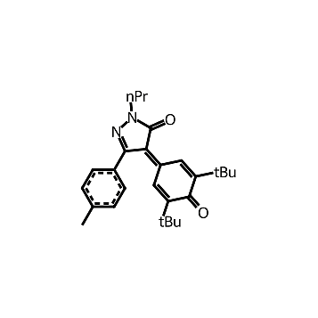 CCCN1N=C(c2ccc(C)cc2)C(=C2C=C(C(C)(C)C)C(=O)C(C(C)(C)C)=C2)C1=O